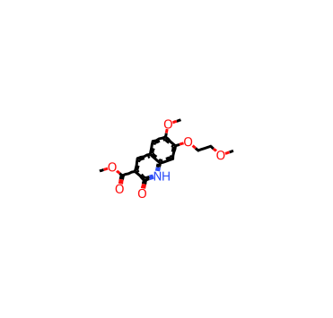 COCCOc1cc2[nH]c(=O)c(C(=O)OC)cc2cc1OC